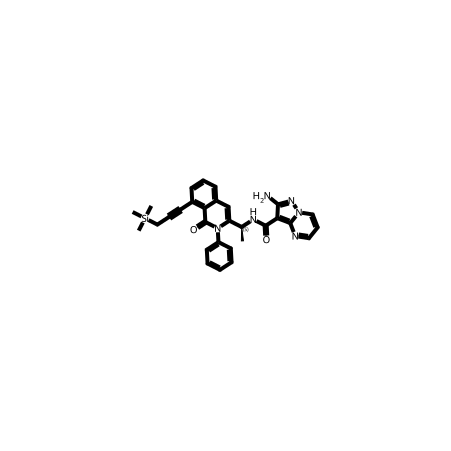 C[C@H](NC(=O)c1c(N)nn2cccnc12)c1cc2cccc(C#CC[Si](C)(C)C)c2c(=O)n1-c1ccccc1